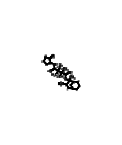 CC1C=C2CCCC(C2)C1(C)OC(=O)C(C)(C)C(C)(C)C(=O)OC1CCOC1=O